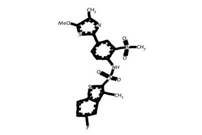 COc1sc(-c2ccc(NS(=O)(=O)c3sc4ccc(F)cc4c3C)c(S(C)(=O)=O)c2)nc1C